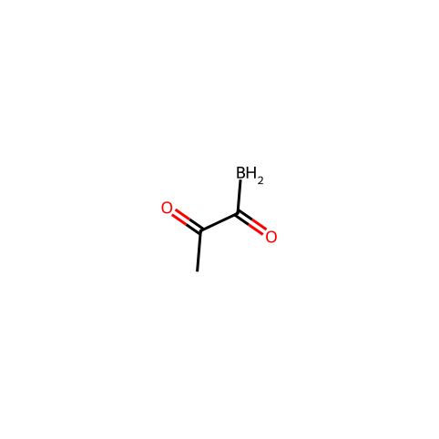 BC(=O)C(C)=O